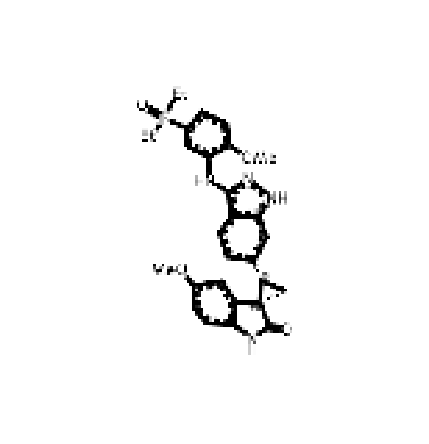 CCP(=O)(CC)c1ccc(OC)c(Nc2n[nH]c3cc([C@@H]4C[C@@]45C(=O)Nc4ccc(OC)cc45)ccc23)c1